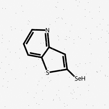 [SeH]c1cc2ncccc2s1